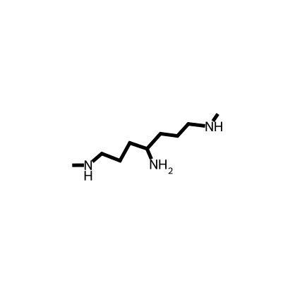 CNCCCC(N)CCCNC